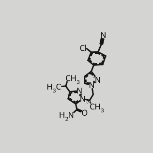 CC(C)c1cc(C(N)=O)n([C@@H](C)Cn2ccc(-c3ccc(C#N)c(Cl)c3)n2)n1